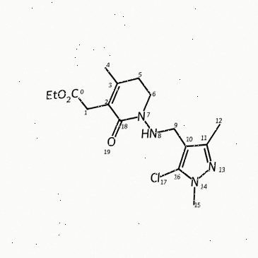 CCOC(=O)CC1=C(C)CCN(NCc2c(C)nn(C)c2Cl)C1=O